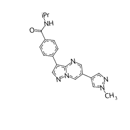 CC(C)NC(=O)c1ccc(-c2cnn3cc(-c4cnn(C)c4)cnc23)cc1